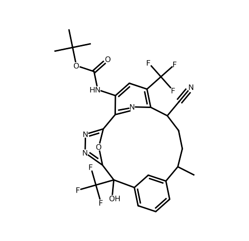 CC1CCC(C#N)c2nc(c(NC(=O)OC(C)(C)C)cc2C(F)(F)F)-c2nnc(o2)C(O)(C(F)(F)F)c2cccc1c2